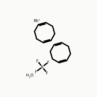 C1=C\CC/C=C\CC/1.C1=C\CC/C=C\CC/1.F[B-](F)(F)F.O.[Rh+]